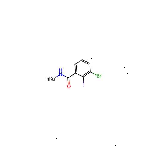 CCCCNC(=O)c1cccc(Br)c1I